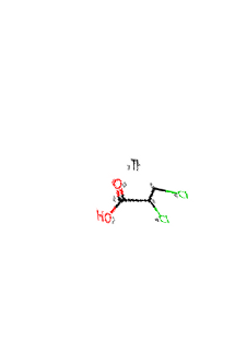 O=C(O)C(Cl)CCl.[Tl]